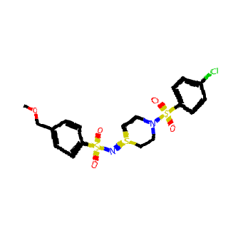 COCc1ccc(S(=O)(=O)N=S2CCN(S(=O)(=O)c3ccc(Cl)cc3)CC2)cc1